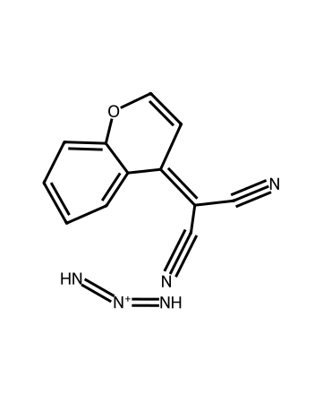 N#CC(C#N)=C1C=COc2ccccc21.N=[N+]=N